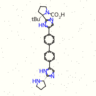 CC(C)(C)[C@]1(c2ncc(-c3ccc(-c4ccc(-c5cnc([C@@H]6CCCN6)[nH]5)cc4)cc3)[nH]2)CCCN1C(=O)O